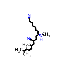 C=C(/C=C\C=C(C)C)CC(C#N)CC/C(=C\C=C\CCCC#N)NC